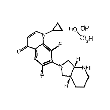 Cl.O=C(O)O.O=c1ccn(C2CC2)c2c(F)c(N3C[C@H]4CCCN[C@H]4C3)c(F)cc12